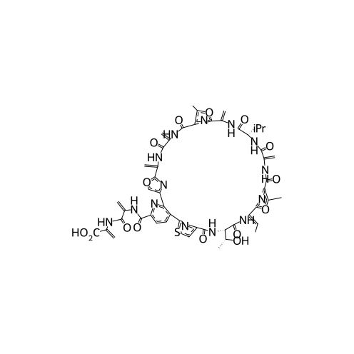 C=C(NC(=O)C(=C)NC(=O)c1ccc2c(n1)-c1coc(n1)C(=C)NC(=O)C(=C)NC(=O)c1nc(oc1C)C(=C)NC(=O)[C@H](C(C)C)NC(=O)C(=C)NC(=O)c1nc(oc1C)/C(=C/C)NC(=O)[C@H]([C@@H](C)O)NC(=O)c1csc-2n1)C(=O)O